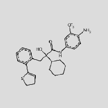 Nc1ccc(NC(=O)C(O)(Cc2ccccc2C2=CCCS2)C2CCCCC2)cc1C(F)(F)F